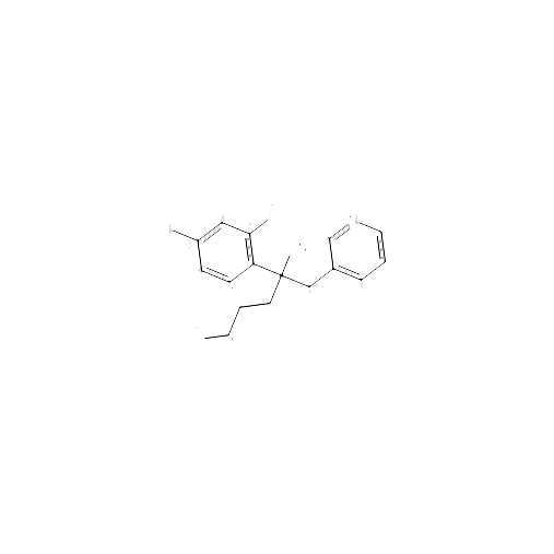 N#CC(CCCC(F)(F)F)(Cc1cccnc1)c1ccc(Cl)cc1Cl